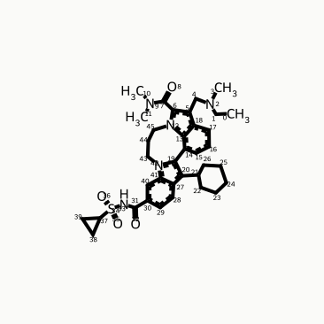 CCN(C)Cc1c(C(=O)N(C)C)n2c3c(cccc13)-c1c(C3CCCCC3)c3ccc(C(=O)NS(=O)(=O)C4CC4)cc3n1CCC2